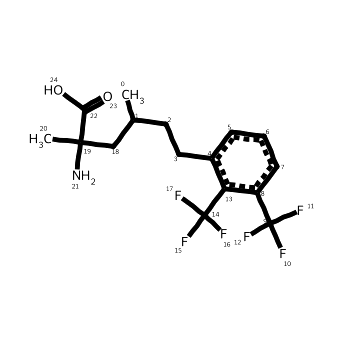 CC(CCc1cccc(C(F)(F)F)c1C(F)(F)F)CC(C)(N)C(=O)O